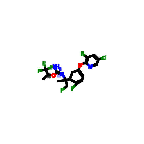 C[C@H](O/C(N)=N\C(C)(CF)C1CC(Oc2ncc(Cl)cc2F)=CC=C1F)C(F)(F)F